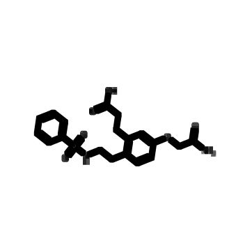 NC(=O)COc1ccc(CCNS(=O)(=O)c2ccccc2)c(CCC(=O)O)c1